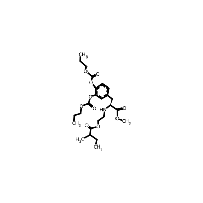 CCCOC(=O)Oc1ccc(C[C@H](NCCOC(=O)C(C)CC)C(=O)OC)cc1OC(=O)OCCC